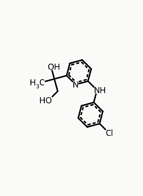 CC(O)(CO)c1cccc(Nc2cccc(Cl)c2)n1